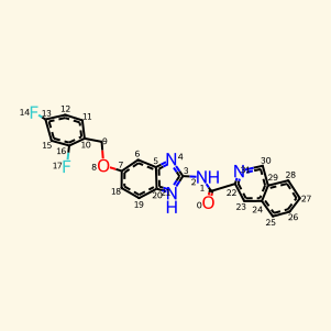 O=C(Nc1nc2cc(OCc3ccc(F)cc3F)ccc2[nH]1)c1cc2ccccc2cn1